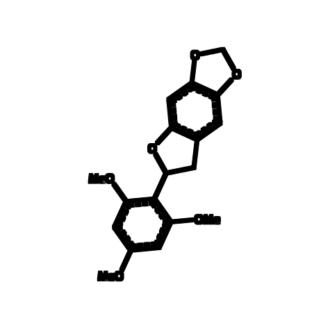 COc1cc(OC)c(C2Cc3cc4c(cc3O2)OCO4)c(OC)c1